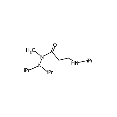 CC(C)NCCC(=O)N(C)N(C(C)C)C(C)C